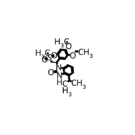 CCOc1cc([C@H](CS(C)(=O)=O)n2c(=O)[nH]c3c(C(C)C)cccc32)ccc1OC